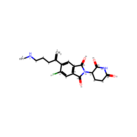 C=C(CCCNCCC)c1cc2c(cc1F)C(=O)N(C1CCC(=O)NC1=O)C2=O